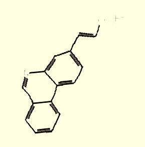 CCOC(=O)/C=C/c1ccc2c(c1)ncc1ccccc12